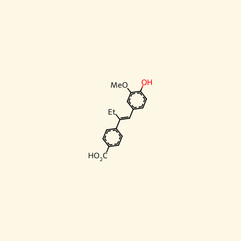 CC/C(=C\c1ccc(O)c(OC)c1)c1ccc(C(=O)O)cc1